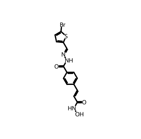 O=C(/C=C/c1ccc(C(=O)N/N=C/c2ccc(Br)s2)cc1)NO